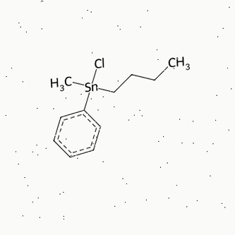 CCC[CH2][Sn]([CH3])([Cl])[c]1ccccc1